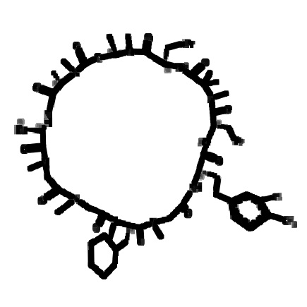 CC[C@H](C)[C@@H]1NC(=O)[C@H](C)N(C)C(=O)C[C@@H](C)N(C)C(=O)[C@H](CC(C)C)NC(=O)C(C)(C)N(C)C(=O)[C@H](CC(C)C)NC(=O)[C@H](CCc2ccc(C(F)(F)F)c(Cl)c2)NC(=O)CN(C)C(=O)[C@H](CC2CCCCC2)N(C)C(=O)CN(C)C(=O)CN(C)C1=O